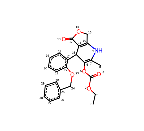 CCOC(=O)OC1=C(C)NC2=C(C(=O)OC2)C1c1ccccc1OCc1ccccc1